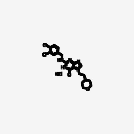 Cl.O=c1[nH]c(NCc2ccc(Cl)c(Cl)c2)nc2ncn(CCN3CCOCC3)c12